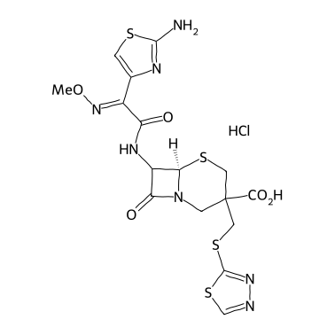 CON=C(C(=O)NC1C(=O)N2CC(CSc3nncs3)(C(=O)O)CS[C@H]12)c1csc(N)n1.Cl